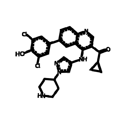 O=C(c1cnc2ccc(-c3cc(Cl)c(O)c(Cl)c3)cc2c1Nc1cnn(C2CCNCC2)c1)C1CC1